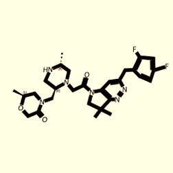 C[C@@H]1CN(CC(=O)N2CC(C)(C)c3nnc(Cc4ccc(F)cc4F)cc32)[C@@H](CN2C[C@H](C)OCC2=O)CN1